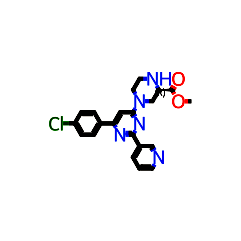 COC(=O)[C@H]1CN(c2cc(-c3ccc(Cl)cc3)nc(-c3cccnc3)n2)CCN1